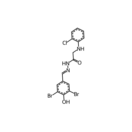 O=C(CNc1ccccc1Cl)N/N=C/c1cc(Br)c(O)c(Br)c1